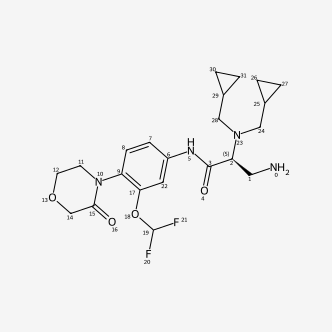 NC[C@@H](C(=O)Nc1ccc(N2CCOCC2=O)c(OC(F)F)c1)N(CC1CC1)CC1CC1